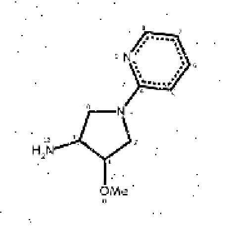 COC1CN(c2[c]cccn2)CC1N